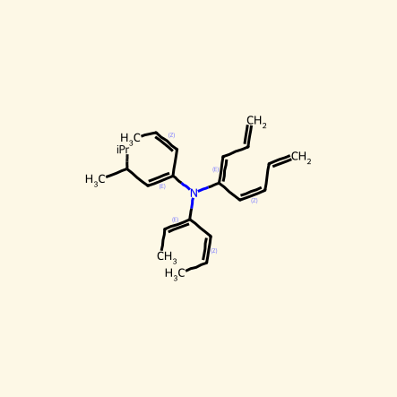 C=C/C=C\C(=C/C=C)N(C(/C=C\C)=C/C)C(/C=C\C)=C/C(C)C(C)C